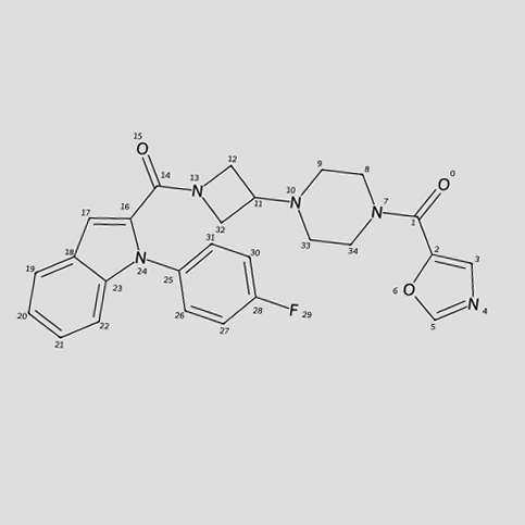 O=C(c1cnco1)N1CCN(C2CN(C(=O)c3cc4ccccc4n3-c3ccc(F)cc3)C2)CC1